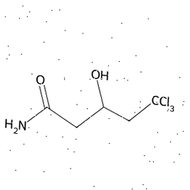 NC(=O)CC(O)CC(Cl)(Cl)Cl